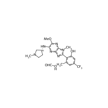 COc1nc2c(nc1N[C@@H]1CCN(C)C1)nc(-c1c(C)cc(C(F)(F)F)cc1O)n2C.O=CO